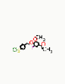 C=CC(=O)c1cc(I)c(OCCc2ccc(SCl)cc2)c(OC)c1